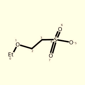 CCOCCS([O])(=O)=O